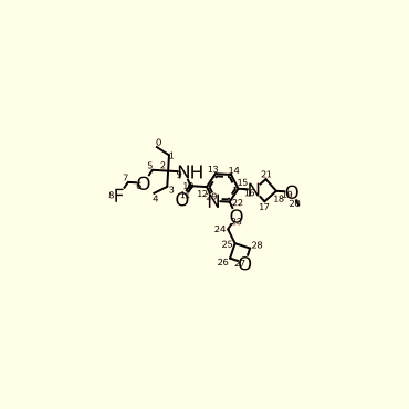 CCC(CC)(COCF)NC(=O)c1ccc(N2CC(OC)C2)c(OCC2COC2)n1